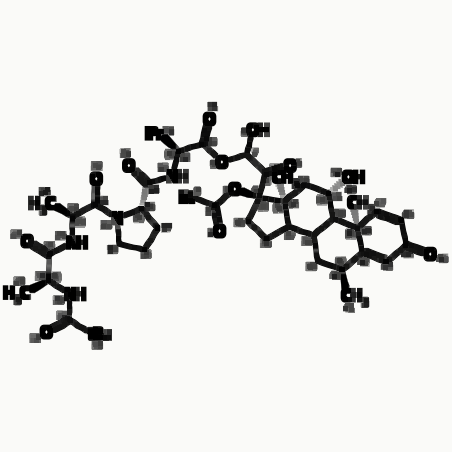 CCC(=O)O[C@]1(C(=O)C(O)OC(=O)[C@@H](NC(=O)[C@@H]2CCCN2C(=O)[C@H](C)NC(=O)[C@H](C)NC(=O)C(C)(C)C)C(C)C)CCC2C3C[C@H](C)C4=CC(=O)C=C[C@]4(C)C3[C@@H](O)C[C@@]21C